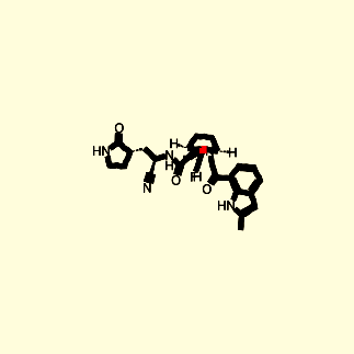 Cc1cc2cccc(C(=O)N3[C@@H]4CC[C@H]([C@@H]3C(=O)N[C@@H](C#N)C[C@@H]3CCNC3=O)C(F)(F)C4)c2[nH]1